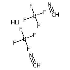 C#N.C#N.F[B-](F)(F)F.F[B-](F)(F)F.[LiH]